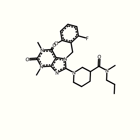 CCCN(C)C(=O)C1CCCN(c2nc3c(c(=O)n(C)c(=O)n3C)n2Cc2c(F)cccc2Cl)C1